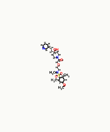 COc1cc(C)c(S(=O)(=O)N(C)CCOCC(=O)N2CCC(O)(CCc3cccnc3)CC2)c(C)c1